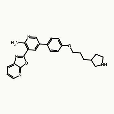 Nc1ncc(-c2ccc(OCCCC3CCNC3)cc2)cc1-c1nc2cccnc2o1